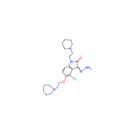 N/N=C1\C(=O)N(CCN2CCCCC2)c2ccc(OCCN3CCCCC3)c(Cl)c21